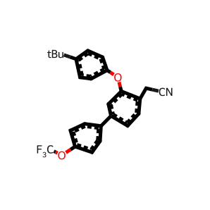 CC(C)(C)c1ccc(Oc2cc(-c3ccc(OC(F)(F)F)cc3)ccc2CC#N)cc1